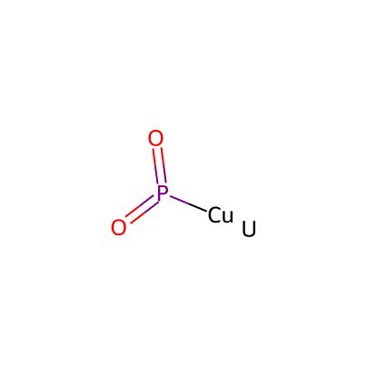 O=[P](=O)[Cu].[U]